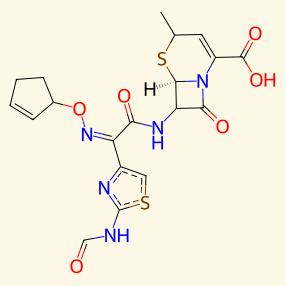 CC1C=C(C(=O)O)N2C(=O)C(NC(=O)/C(=N\OC3C=CCC3)c3csc(NC=O)n3)[C@H]2S1